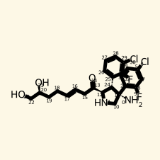 N[C@]1(c2ccc(Cl)cc2F)CN[C@@H](C(=O)C/C=C/CC[C@H](O)CO)[C@@H]1c1cccc(Cl)c1F